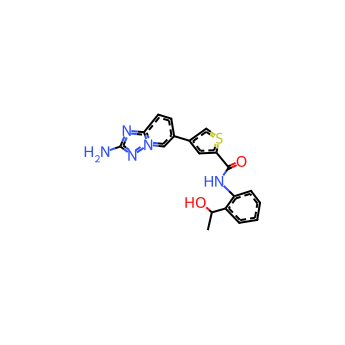 CC(O)c1ccccc1NC(=O)c1cc(-c2ccc3nc(N)nn3c2)cs1